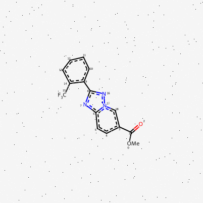 COC(=O)c1ccc2nc(-c3ccccc3C(F)(F)F)nn2c1